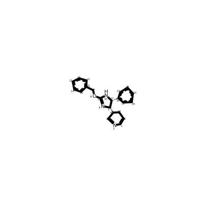 C1=CN=CC([C@@H]2N=C(OCc3ccccc3)N[C@@H]2c2ccccc2)C1